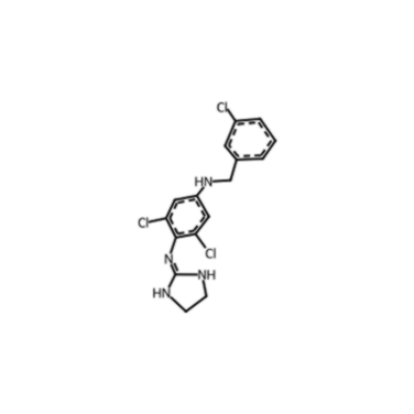 Clc1cccc(CNc2cc(Cl)c(N=C3NCCN3)c(Cl)c2)c1